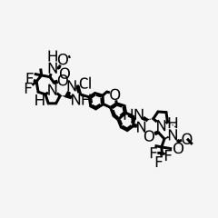 COC(=O)NC1C(=O)N2[C@H](CC[C@H]2c2nc(Cl)c(-c3ccc4c(c3)COc3cc5c(ccc6nc([C@@H]7CC[C@H](C)N7C(=O)[C@@H](NC(=O)OC)C(C)(C)C(F)(F)F)[nH]c65)cc3-4)[nH]2)CC(F)(F)C1(C)C